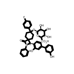 O=C(O)C1O[C@@H](OC2(c3ccc(F)cc3)CCC3(CC2)C(=O)N(c2ccccc2)[C@@H]3c2ccc(-c3cccc(O)c3)cc2O)[C@@H](O)C(O)[C@@H]1O